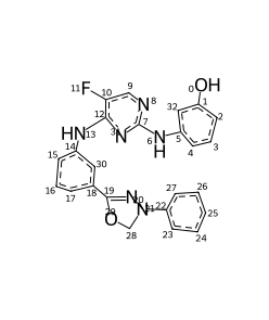 Oc1cccc(Nc2ncc(F)c(Nc3cccc(C4=NN(c5ccccc5)CO4)c3)n2)c1